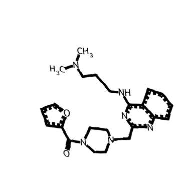 CN(C)CCCNc1nc(CN2CCN(C(=O)c3ccco3)CC2)nc2ccccc12